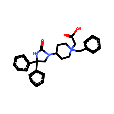 O=C(O)C[N+]1(Cc2ccccc2)CCC(N2CC(c3ccccc3)(c3ccccc3)NC2=O)CC1